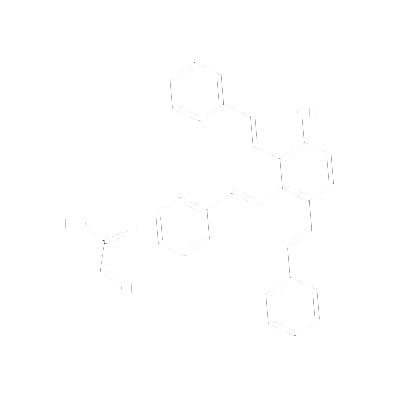 C=CC(=O)O.Oc1ccc(C=Cc2ccccc2)c(C=Cc2ccccc2)c1C=Cc1ccccc1